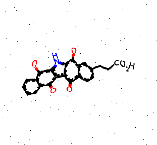 O=C(O)CCc1ccc2c(=O)c3c([nH]c4c(=O)c5ccccc5c(=O)c43)c(=O)c2c1